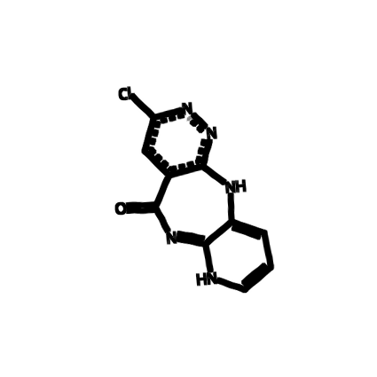 O=C1N=C2NC=CC=C2Nc2nnc(Cl)cc21